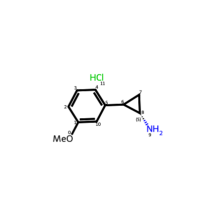 COc1cccc(C2C[C@@H]2N)c1.Cl